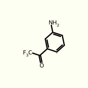 Nc1cc[c]c(C(=O)C(F)(F)F)c1